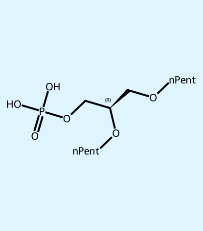 CCCCCOC[C@H](COP(=O)(O)O)OCCCCC